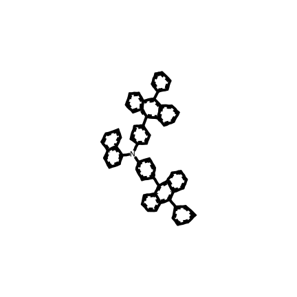 c1ccc(-c2c3ccccc3c(-c3ccc(N(c4ccc(-c5c6ccccc6c(-c6ccccc6)c6ccccc56)cc4)c4cccc5ccccc45)cc3)c3ccccc23)cc1